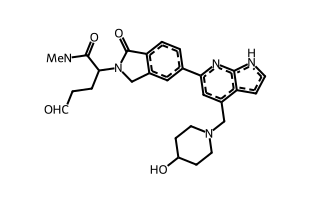 CNC(=O)C(CCC=O)N1Cc2cc(-c3cc(CN4CCC(O)CC4)c4cc[nH]c4n3)ccc2C1=O